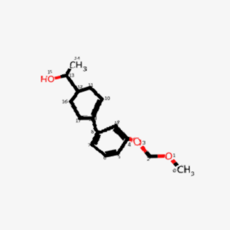 COCOc1cccc(C2=CCC(C(C)O)CC2)c1